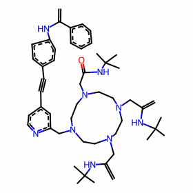 C=C(CN1CCN(CC(=C)NC(C)(C)C)CCN(Cc2cc(C#Cc3ccc(NC(=C)c4ccccc4)cc3)ccn2)CCN(CC(=O)NC(C)(C)C)CC1)NC(C)(C)C